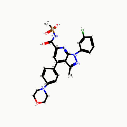 Cc1nn(-c2cccc(Cl)c2)c2nc(C(=O)NS(C)(=O)=O)cc(-c3ccc(N4CCOCC4)cc3)c12